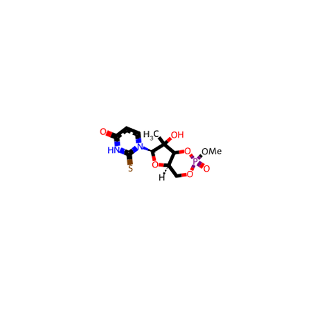 COP1(=O)OC[C@H]2O[C@@H](n3ccc(=O)[nH]c3=S)C(C)(O)C2O1